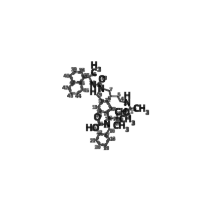 CC(=O)NCCCCN(Cc1ccc([C@@H](N(Cc2ccccc2)C(=O)O)C(C)(C)C)cc1)C(=O)NC(C)c1cccc2ccccc12